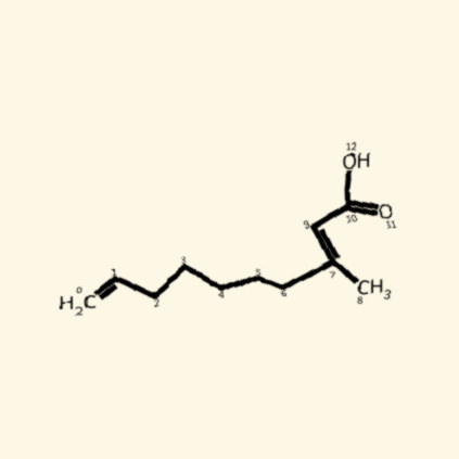 C=CCCCCCC(C)=CC(=O)O